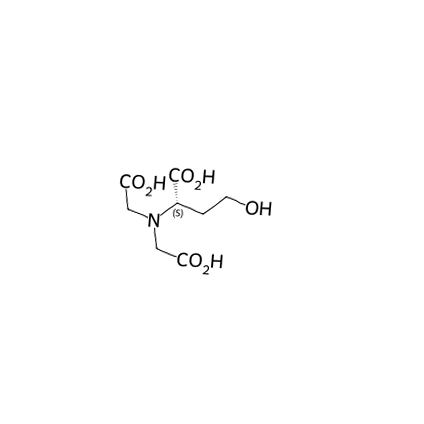 O=C(O)CN(CC(=O)O)[C@@H](CCO)C(=O)O